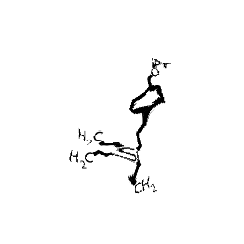 C=CC[Si](CC=C)(CC=C)CCCc1ccc(COC(C)C)cc1